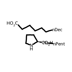 CCCCCCCCCCCCCCCC(=O)O.CCCC[CH2][Na].O=C(O)[C@@H]1CCCN1